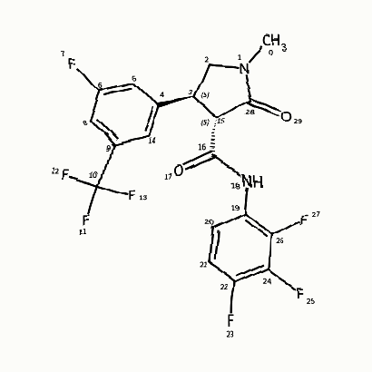 CN1C[C@H](c2cc(F)cc(C(F)(F)F)c2)[C@@H](C(=O)Nc2ccc(F)c(F)c2F)C1=O